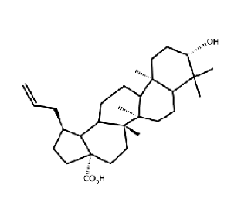 C=CC[C@@H]1CC[C@]2(C(=O)O)CC[C@]3(C)C(CCC4[C@@]5(C)CC[C@H](O)C(C)(C)C5CC[C@]43C)C12